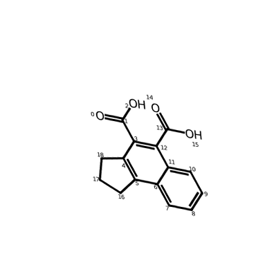 O=C(O)c1c2c(c3ccccc3c1C(=O)O)CCC2